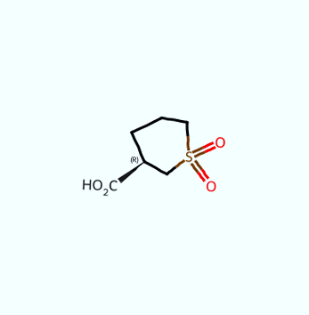 O=C(O)[C@H]1CCCS(=O)(=O)C1